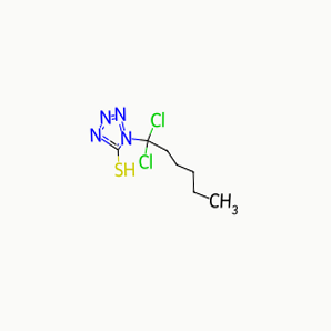 CCCCCC(Cl)(Cl)n1nnnc1S